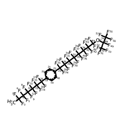 CC(F)(F)C(F)(F)C(F)(F)C(F)(F)C(F)(F)C(F)(F)c1ccc(C(F)(F)C(F)(F)C(F)(F)C(F)(F)C(F)(F)C(F)(F)C(F)(F)C(F)(F)OC(F)(C(F)(F)F)C(F)(F)F)cc1